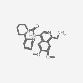 COc1cc2c(NC(=O)N3CCCCC3c3ccccn3)cnc(CN)c2cc1OC